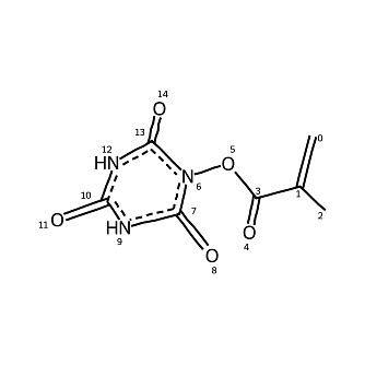 C=C(C)C(=O)On1c(=O)[nH]c(=O)[nH]c1=O